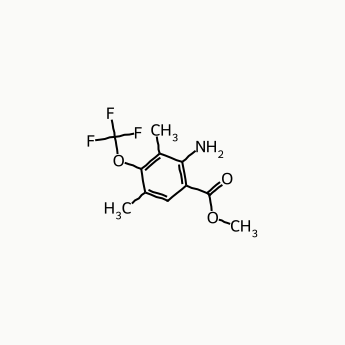 COC(=O)c1cc(C)c(OC(F)(F)F)c(C)c1N